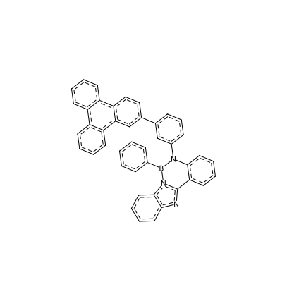 c1ccc(B2N(c3cccc(-c4ccc5c6ccccc6c6ccccc6c5c4)c3)c3ccccc3-c3nc4ccccc4n32)cc1